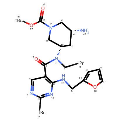 CC(C)CN(C(=O)c1cnc(C(C)(C)C)nc1NCc1ccco1)[C@H]1C[C@@H](N)CN(C(=O)OC(C)(C)C)C1